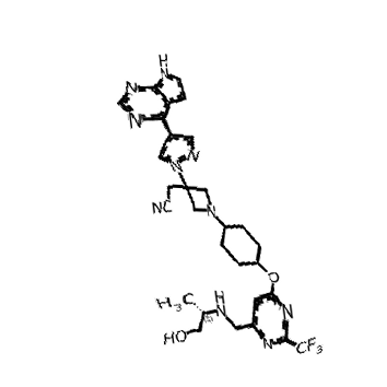 C[C@@H](CO)NCc1cc(OC2CCC(N3CC(CC#N)(n4cc(-c5ncnc6[nH]ccc56)cn4)C3)CC2)nc(C(F)(F)F)n1